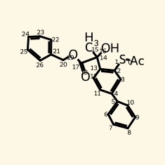 CC(=O)Sc1cc(-c2ccccc2)ccc1C(C)(O)C(=O)OCc1ccccc1